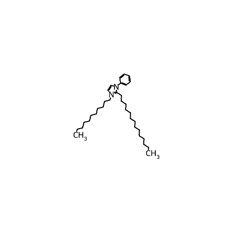 CCCCCCCCCCCCCCc1n(-c2ccccc2)cc[n+]1CCCCCCCCCCC